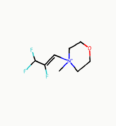 C[N+]1(/C=C(\F)C(F)F)CCOCC1